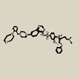 CN(C)CCC(CSc1ccccc1)Nc1ccc(S(=O)(=O)Nc2ncnc3cc(N4CCN(Cc5ccccc5N5CCOCC5)CC4)ccc23)cc1[N+](=O)[O-]